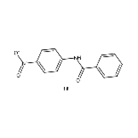 I.O=C(Nc1ccc([N+](=O)[O-])cc1)c1ccccc1